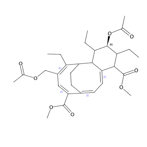 CC/C1=C(COC(C)=O)/C=C(C(=O)OC)\C2=C\C=C3\C(C(=O)OC)C(CC)[C@H](OC(C)=O)C(CC)C3C1CC2